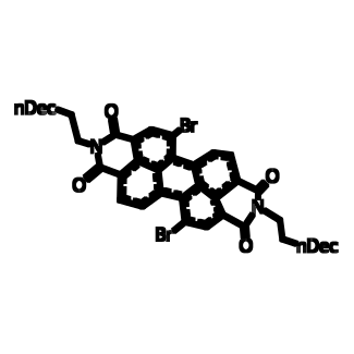 CCCCCCCCCCCCN1C(=O)c2ccc3c4c(Br)cc5c6c(ccc(c7c(Br)cc(c2c37)C1=O)c64)C(=O)N(CCCCCCCCCCCC)C5=O